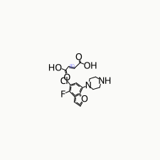 Fc1c(Cl)cc(N2CCNCC2)c2occc12.O=C(O)/C=C/C(=O)O